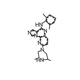 Cc1cccc(C)c1Nc1nc2ccc(N3CC(C)NC(C)C3)nc2n2cncc12